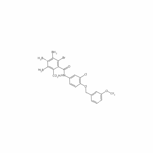 Bc1c(B)c(Br)c(C(=O)Nc2ccc(OCc3cccc(OC(F)(F)F)c3)c(Cl)c2)c(C(=O)O)c1B